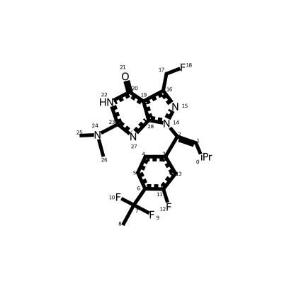 CC(C)C=C(c1ccc(C(C)(F)F)c(F)c1)n1nc(CF)c2c(=O)[nH]c(N(C)C)nc21